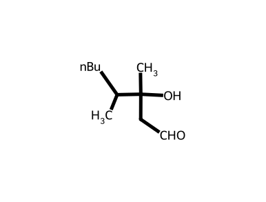 CCCCC(C)C(C)(O)CC=O